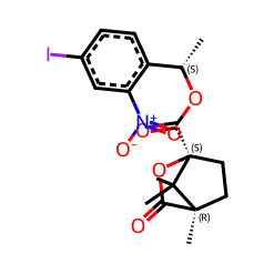 C[C@H](OC(=O)[C@@]12CC[C@@](C)(C(=O)O1)C2(C)C)c1ccc(I)cc1[N+](=O)[O-]